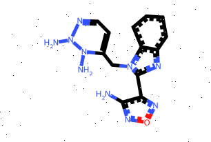 Nc1nonc1-c1nc2ccccc2n1CC1=CC=NN(N)N1N